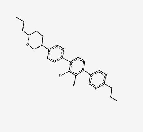 CCCc1ncc(-c2ccc(-c3ccc(C4CCC(CCC)OC4)cc3)c(F)c2F)cn1